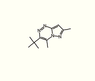 Cc1cc2nnc(C(C)(C)C)c(C)n2n1